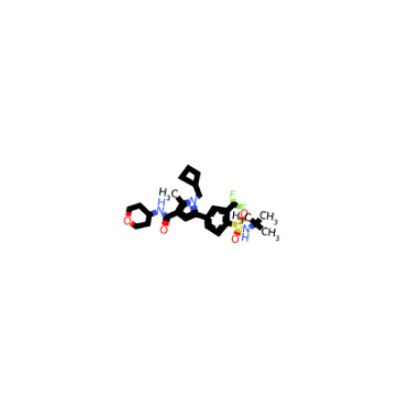 Cc1c(C(=O)NC2CCOCC2)cc(-c2ccc(S(=O)(=O)NC(C)(C)C)c(C(F)F)c2)n1CC1CCC1